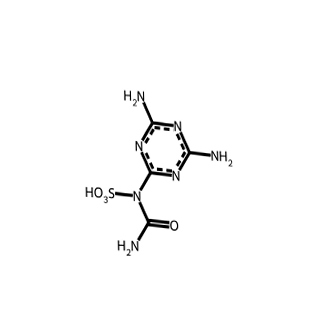 NC(=O)N(c1nc(N)nc(N)n1)S(=O)(=O)O